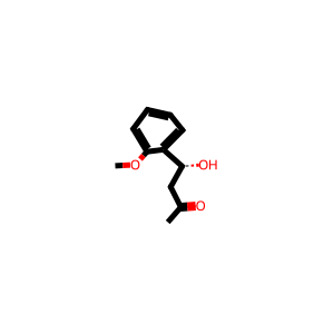 COc1ccccc1[C@H](O)CC(C)=O